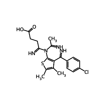 CC(=N)N(C(=N)CCC(=O)O)c1sc(C)c(C)c1C(=N)c1ccc(Cl)cc1